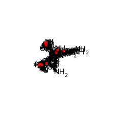 COc1ccc2c3c1O[C@H]1C(OC(=O)N4CCN(CN5CCN(C(=O)OC6=CC[C@@]7(C)[C@H]8Cc9ccc(OC)c%10c9[C@@]7(CCN8C)[C@H]6O%10)C(CNC(=O)[C@@H](CCCN)N(C)CCC(C)(C)C(=O)Oc6ccc(CC(=N)N)cc6)C5)CC4CNC(=O)[C@H](CCCN)CN(C)CCC(C)(C)C(=O)Oc4ccc(CC(=N)N)cc4)=CC[C@@]4(C)[C@@H](C2)N(C)CC[C@]314